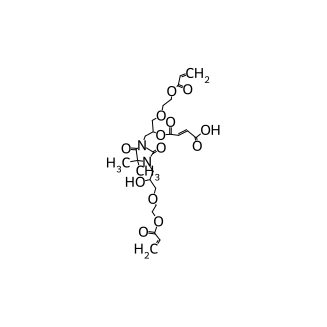 C=CC(=O)OCCOCC(O)CN1C(=O)N(CC(COCCOC(=O)C=C)OC(=O)C=CC(=O)O)C(=O)C1(C)C